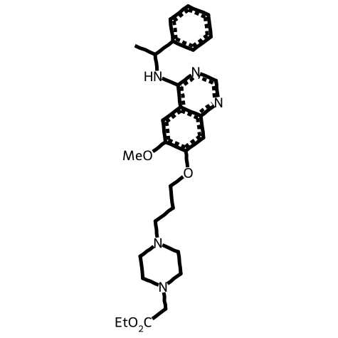 CCOC(=O)CN1CCN(CCCOc2cc3ncnc(NC(C)c4ccccc4)c3cc2OC)CC1